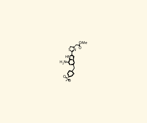 COC(=O)C[C@@H]1CSC(c2cc3cc(Cc4ccc(S(C)(=O)=O)cc4)cc(N)c3[nH]2)=N1